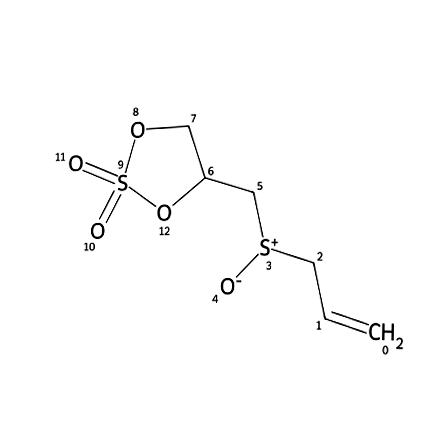 C=CC[S+]([O-])CC1COS(=O)(=O)O1